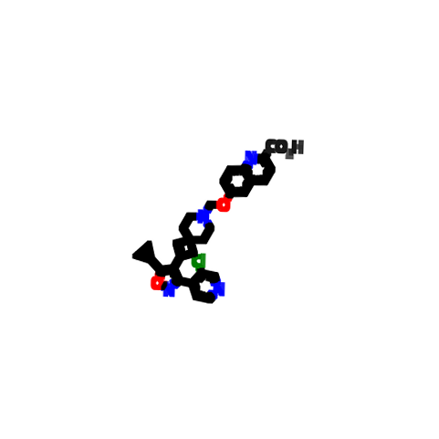 O=C(O)c1ccc2cc(OCN3CCC4(C=C(c5c(-c6ccncc6Cl)noc5C5CC5)C4)CC3)ccc2n1